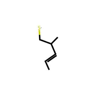 CC=CC(C)C[S]